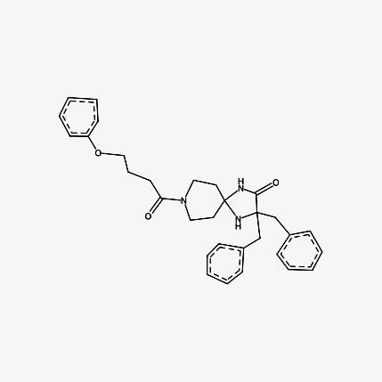 O=C(CCCOc1ccccc1)N1CCC2(CC1)NC(=O)C(Cc1ccccc1)(Cc1ccccc1)N2